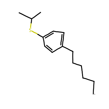 [CH2]CCCCCc1ccc(SC(C)C)cc1